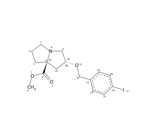 COC(=O)[C@@]12CCCN1C[C@H](OCc1ccc(I)cc1)C2